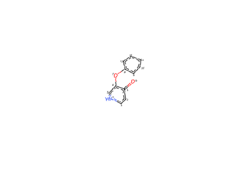 O=c1cc[nH]cc1Oc1ccccc1